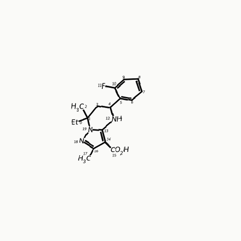 CCC1(C)CC(c2ccccc2F)Nc2c(C(=O)O)c(C)nn21